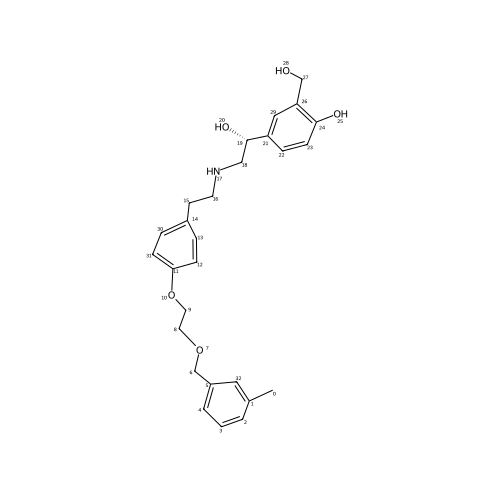 Cc1cccc(COCCOc2ccc(CCNC[C@H](O)c3ccc(O)c(CO)c3)cc2)c1